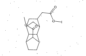 COC(=O)C1C2CCC1C1C3CC(CC3CC(=O)OI)C21